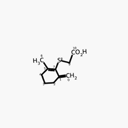 C=C1CCCC(C)=C1SCC(=O)O